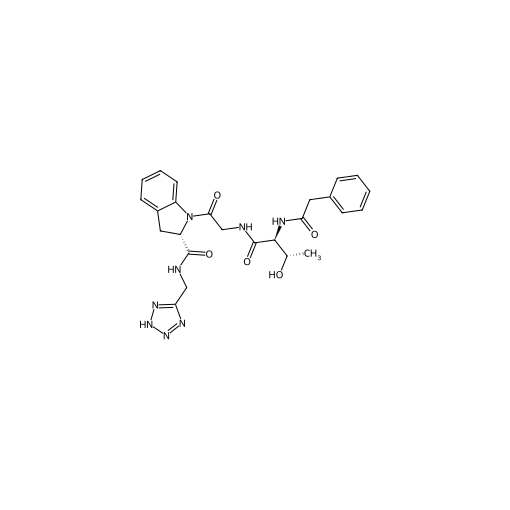 C[C@H](O)[C@H](NC(=O)Cc1ccccc1)C(=O)NCC(=O)N1c2ccccc2C[C@H]1C(=O)NCc1nn[nH]n1